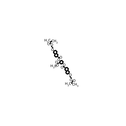 C=C(C)C(=O)OCCOc1ccc2cc(C(=O)Oc3ccc(OC(=O)c4ccc5cc(OCCOC(=O)C(=C)C)ccc5c4)c(C(=O)OC)c3)ccc2c1